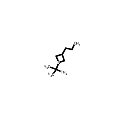 CCCC1CN(C(C)(C)C)C1